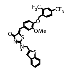 COc1cc(/C=C2\SC(N(C)Cc3cc4ccccc4s3)=NC2=O)ccc1OCc1ccc(C(F)(F)F)cc1C(F)(F)F